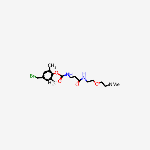 CNCCOCCNC(=O)CCNC(=O)Oc1c(C)cc(CBr)cc1C